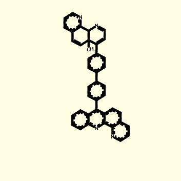 CC12C=Cc3cccnc3C1N=CC=C2c1ccc(-c2ccc(-c3c4ccccc4nc4c3ccc3cccnc34)cc2)cc1